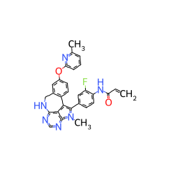 C=CC(=O)Nc1ccc(-c2c3c4c(ncnc4n2C)NCc2cc(Oc4cccc(C)n4)ccc2-3)cc1F